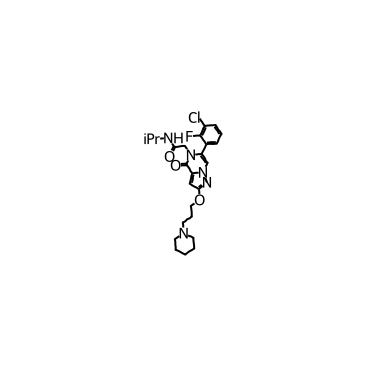 CC(C)NC(=O)Cn1c(-c2cccc(Cl)c2F)cn2nc(OCCCN3CCCCC3)cc2c1=O